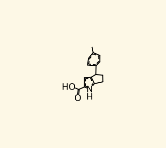 Cc1ccc(C2CCc3[nH]c(C(=O)O)cc32)cc1